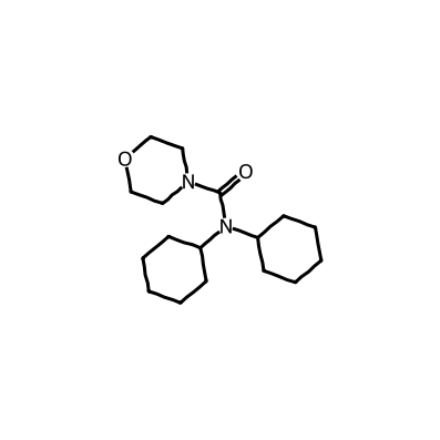 O=C(N1CCOCC1)N(C1CCCCC1)C1CCCCC1